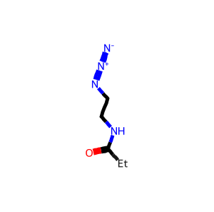 CCC(=O)NCCN=[N+]=[N-]